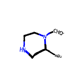 CCCCC1CNCCN1[C]=O